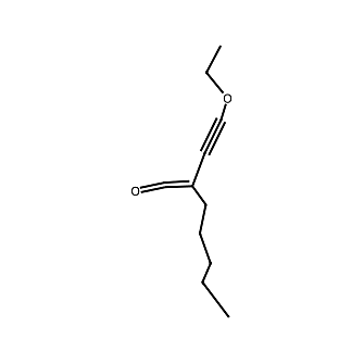 CCCCCC(=C=O)C#COCC